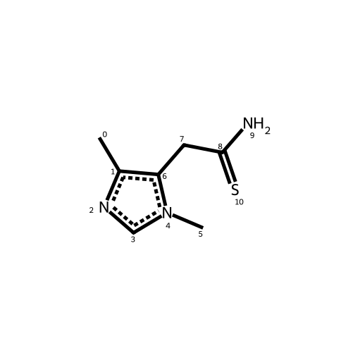 Cc1ncn(C)c1CC(N)=S